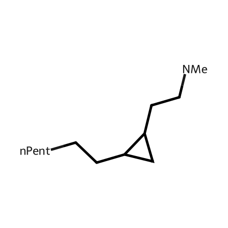 CCCCCCCC1CC1CCNC